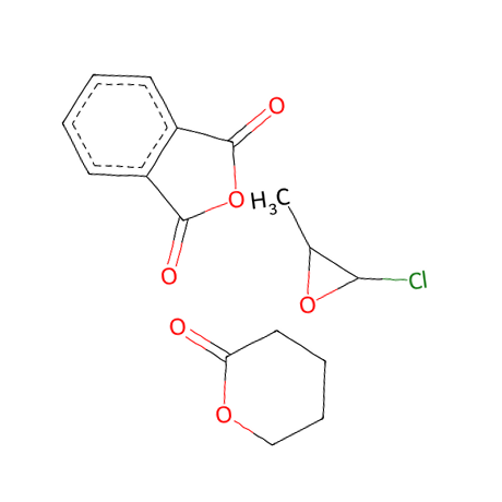 CC1OC1Cl.O=C1CCCCO1.O=C1OC(=O)c2ccccc21